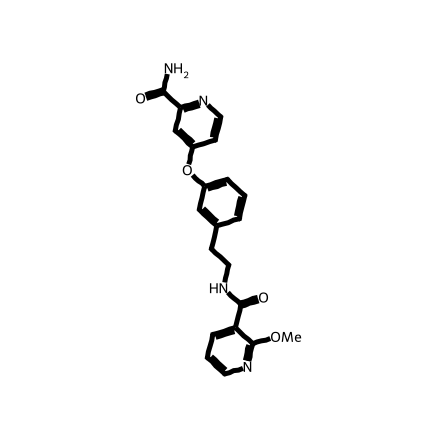 COc1ncccc1C(=O)NCCc1cccc(Oc2ccnc(C(N)=O)c2)c1